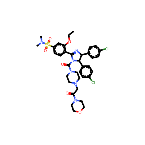 CCOc1cc(S(=O)(=O)N(C)C)ccc1C1=NC(c2ccc(Cl)cc2)C(c2ccc(Cl)cc2)N1C(=O)N1CCN(CC(=O)N2CCOCC2)CC1